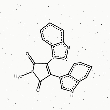 CN1C(=O)C(c2c[nH]c3ccccc23)=C(n2nnc3ccccc32)C1=O